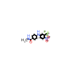 CNC(=O)[C@H]1CC[C@H](Nc2ccc([N+](=O)[O-])c(C(F)(F)F)c2)CC1